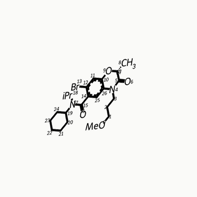 COCCCN1C(=O)[C@@H](C)Oc2cc(Br)c(C(=O)N(C(C)C)C3CCCCC3)cc21